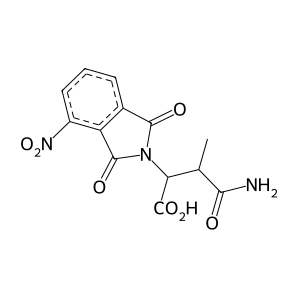 CC(C(N)=O)C(C(=O)O)N1C(=O)c2cccc([N+](=O)[O-])c2C1=O